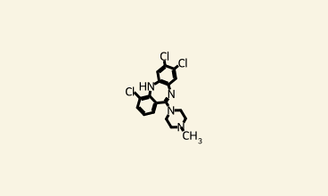 CN1CCN(C2=Nc3cc(Cl)c(Cl)cc3Nc3c(Cl)cccc32)CC1